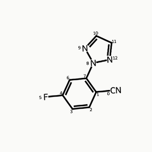 N#Cc1ccc(F)cc1-n1nccn1